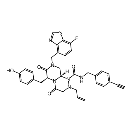 C#Cc1ccc(CNC(=O)N2[C@H]3CN(Cc4ccc(F)c5scnc45)C(=O)[C@H](Cc4ccc(O)cc4)N3C(=O)CN2CC=C)cc1